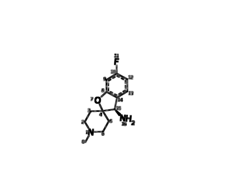 CN1CCC2(CC1)Oc1cc(F)ccc1[C@H]2N